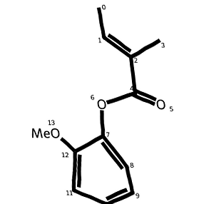 CC=C(C)C(=O)Oc1ccccc1OC